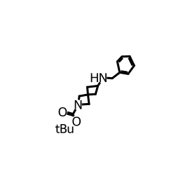 CC(C)(C)OC(=O)N1CC2(CC(NCc3ccccc3)C2)C1